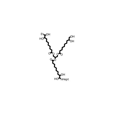 CCCCCCCC(O)C(O)CCCCCCCC(=O)OC(COC(=O)CCCCCCCC(O)CO)COC(=O)CCCCCCCC(O)C(O)CC